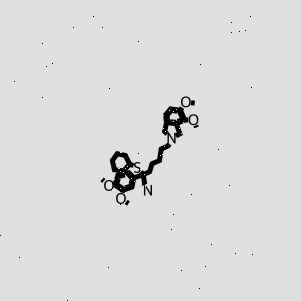 COc1ccc(C(C#N)(CCCCCN2Cc3ccc(OC)c(OC)c3C2)SC2CCCCC2)cc1OC